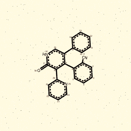 N#Cc1ccccc1-c1c(-c2ccccc2)c[nH]c(=O)c1-c1ccccn1